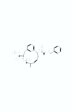 CC1/C=C\C[C@H](NC(=O)OCc2ccccc2)c2cccc(c2)CC(C(=O)O)NC1=O